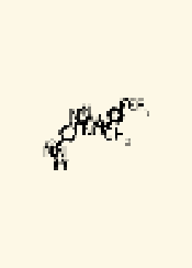 CC(=NOc1ncnc(N2CCC(c3nc(C(C)C)no3)CC2)c1[N+](=O)[O-])c1ccc(OC(F)(F)F)cc1